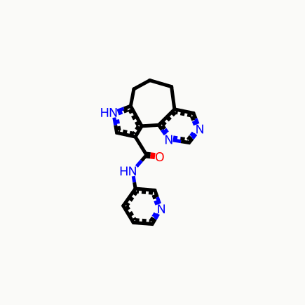 O=C(Nc1cccnc1)c1c[nH]c2c1-c1ncncc1CCC2